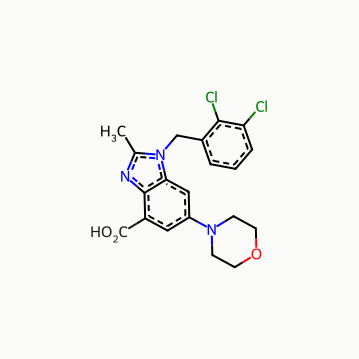 Cc1nc2c(C(=O)O)cc(N3CCOCC3)cc2n1Cc1cccc(Cl)c1Cl